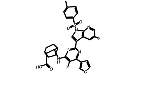 Cc1ccc(S(=O)(=O)n2cc(-c3nc(NC4C5CCC(CC5)C4C(=O)O)c(F)c(-c4ccoc4)n3)c3cc(F)cnc32)cc1